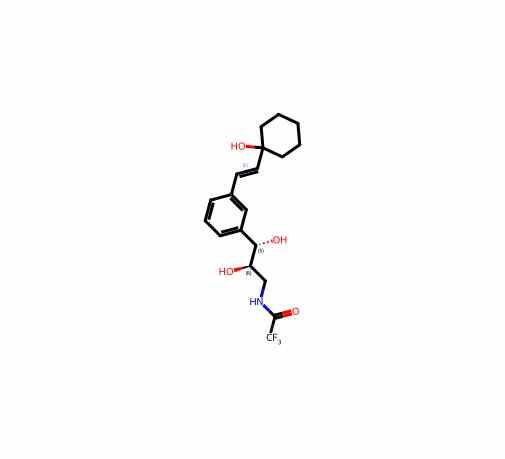 O=C(NC[C@@H](O)[C@@H](O)c1cccc(/C=C/C2(O)CCCCC2)c1)C(F)(F)F